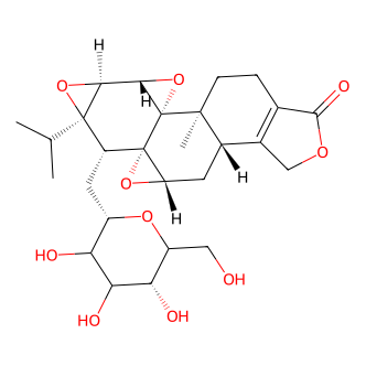 CC(C)[C@]12O[C@H]1[C@@H]1O[C@]13[C@]1(O[C@H]1C[C@H]1C4=C(CC[C@@]13C)C(=O)OC4)[C@@H]2C[C@@H]1OC(CO)[C@H](O)C(O)C1O